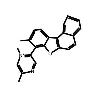 Cc1c[n+](C)c(-c2c(C)ccc3c2oc2ccc4ccccc4c23)cn1